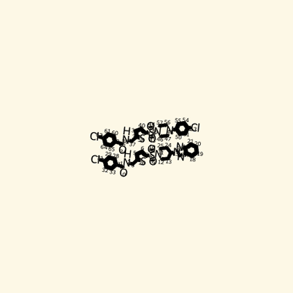 O=C(NCc1ccc(S(=O)(=O)N2CCC(n3nc4ccccc4n3)CC2)s1)c1ccc(Cl)cc1.O=C(NCc1ccc(S(=O)(=O)N2CCN(c3ccc(Cl)cc3)CC2)s1)c1ccc(Cl)cc1